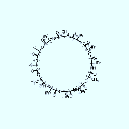 CC(C)C1NC(=O)[C@@H](C(C)C)OC(=O)C(C(C)C)NC(=O)[C@H](C)OC(=O)C(C(C)C)NC(=O)[C@@H](C(C)C)OC(=O)C(C(C)C)NC(=O)[C@H](C)OC(=O)[C@@H](C(C)C)NC(=O)[C@@H](C(C)C)OC(=O)C(C(C)C)NC(=O)[C@H](C)OC1=O